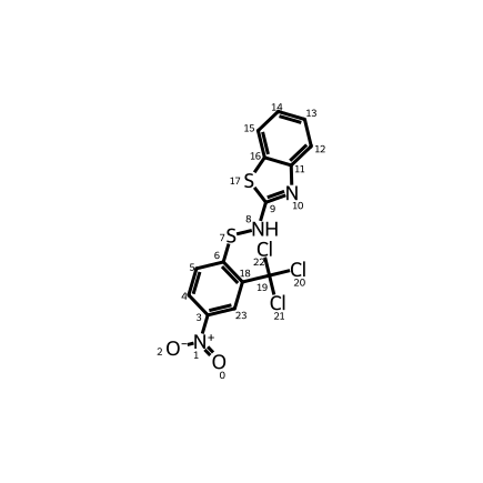 O=[N+]([O-])c1ccc(SNc2nc3ccccc3s2)c(C(Cl)(Cl)Cl)c1